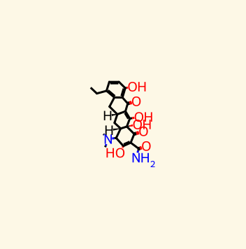 CCc1ccc(O)c2c1C[C@H]1C[C@H]3C(N(C)C)C(O)=C(C(N)=O)C(=O)[C@@]3(O)C(O)=C1C2=O